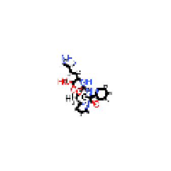 CC1CCCN1C(=O)[C@](C)(NC(=O)NC(CCCCN)C(=O)O)C1CCCCC1